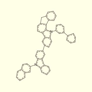 c1ccc(-c2cccc(-n3c4ccc(-c5ccc6c(c5)c5ccccc5n6-c5ccc6ccccc6c5)cc4c4ccc5c(c43)-c3ccccc3C5)c2)cc1